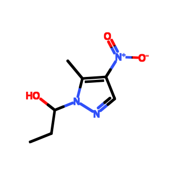 CCC(O)n1ncc([N+](=O)[O-])c1C